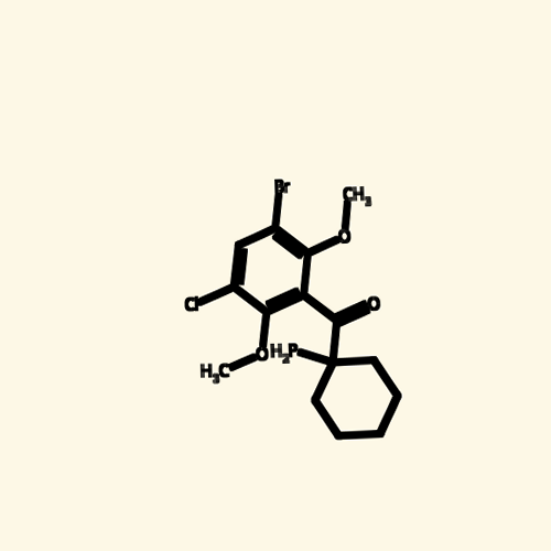 COc1c(Cl)cc(Br)c(OC)c1C(=O)C1(P)CCCCC1